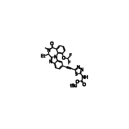 CCC1c2nc3ccc(C#Cc4nnc(NC(=O)OC(C)(C)C)s4)cc3n2-c2c(OC(F)F)cccc2C(=O)N1C